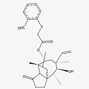 C=C[C@]1(C)C[C@@H](OC(=O)CSc2ccccc2C=O)[C@]2(C)C(C)CCC3(CCC(=O)C32)[C@@H](C)[C@@H]1O